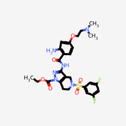 CCOC(=O)n1nc(NC(=O)c2ccc(OCCN(C)C)cc2N)c2c1CCN(S(=O)(=O)c1cc(F)cc(F)c1)C2